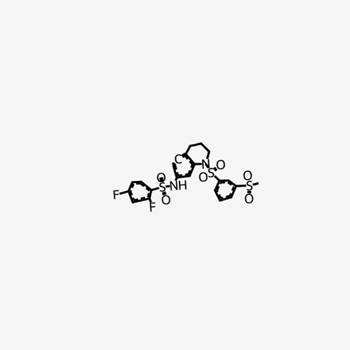 CS(=O)(=O)c1cccc(S(=O)(=O)N2CCCc3ccc(NS(=O)(=O)c4ccc(F)cc4F)cc32)c1